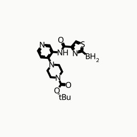 Bc1nc(C(=O)Nc2cnccc2N2CCN(C(=O)OC(C)(C)C)CC2)cs1